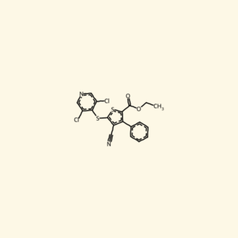 CCOC(=O)c1sc(Sc2c(Cl)cncc2Cl)c(C#N)c1-c1ccccc1